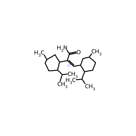 CC1CCC(C(C)C)C(/C=C(\C(N)=O)C2CC(C)CCC2C(C)C)C1